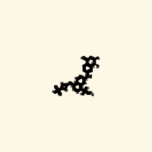 C[C@@H]1OC(=O)c2ccc(Nc3cc4c(C(C)(C)N)cnc(OC5CN(S(C)(=O)=O)C5)c4cn3)nc2[C@H]1C